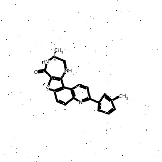 Cc1cccc(-c2ccc3c(ccc4sc5c(c43)NC[C@@H](C)NC5=O)n2)c1